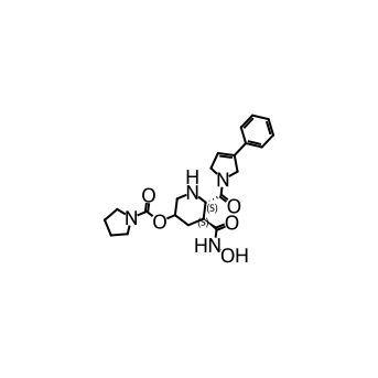 O=C(NO)[C@H]1CC(OC(=O)N2CCCC2)CN[C@@H]1C(=O)N1CC=C(c2ccccc2)C1